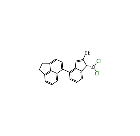 CCC1=Cc2c(-c3ccc4c5c(cccc35)CC4)cccc2[CH]1[Zr]([Cl])[Cl]